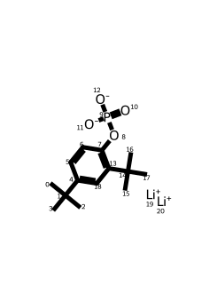 CC(C)(C)c1ccc(OP(=O)([O-])[O-])c(C(C)(C)C)c1.[Li+].[Li+]